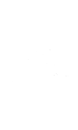 C=CCc1ccc(O)c(C=NO)c1